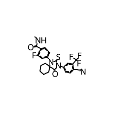 CNC(=O)c1ccc(N2C(=S)N(c3ccc(C#N)c(C(F)(F)F)c3)C(=O)C23CCCCC3)cc1F